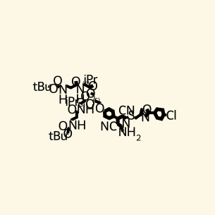 CC(C)[C@H](NC(=O)CCNC(=O)OC(C)(C)C)C(=O)OC[C@H](COc1ccc(-c2c(C#N)c(N)nc(SCc3coc(-c4ccc(Cl)cc4)n3)c2C#N)cc1)OC(=O)[C@@H](NC(=O)CCNC(=O)OC(C)(C)C)C(C)C